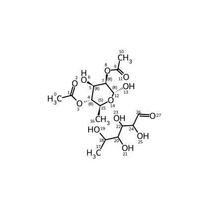 CC(=O)O[C@@H]1[C@@H](O)[C@@H](OC(C)=O)[C@H](O)O[C@H]1C.CC(O)C(O)C(O)C(O)C=O